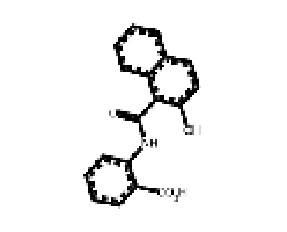 O=C(O)c1ccccc1NC(=O)c1c(O)ccc2ccccc12